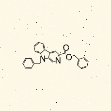 O=C(OCc1ccccc1)c1cc2c3ccccc3n(Cc3ccccc3)c2cn1